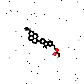 C=CC(=O)OCCc1ccc2c(c1)C(C)(C)c1cc(C3=C4C=CC5=CC(C(C)(C)C)=CC6=CC=C(C=C3)C4C65)ccc1-2